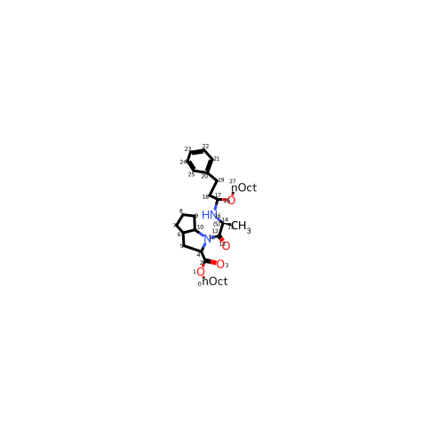 CCCCCCCCOC(=O)C1CC2CCCC2N1C(=O)[C@H](C)NC(CCc1ccccc1)OCCCCCCCC